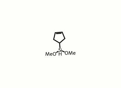 CO[SiH](OC)C1CC=CC1